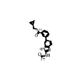 CCC(=O)Nc1nc2ccc(-c3cccc(C(=O)NCC4CC4)c3)cc2[nH]1